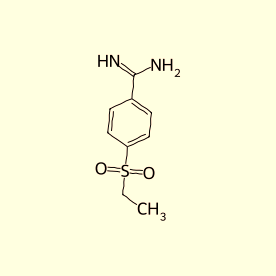 CCS(=O)(=O)c1ccc(C(=N)N)cc1